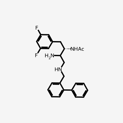 CC(=O)N[C@@H](Cc1cc(F)cc(F)c1)C(N)CNCc1ccccc1-c1ccccc1